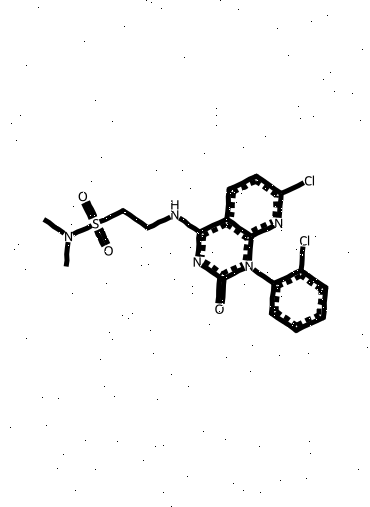 CN(C)S(=O)(=O)CCNc1nc(=O)n(-c2ccccc2Cl)c2nc(Cl)ccc12